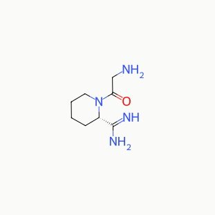 N=C(N)[C@@H]1CCCCN1C(=O)CN